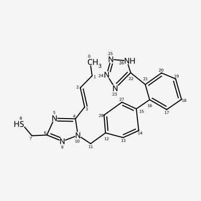 CCC=Cc1nc(CS)nn1Cc1ccc(-c2ccccc2-c2nnn[nH]2)cc1